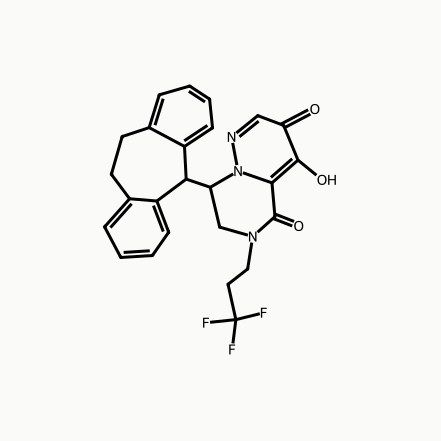 O=C1c2c(O)c(=O)cnn2C(C2c3ccccc3CCc3ccccc32)CN1CCC(F)(F)F